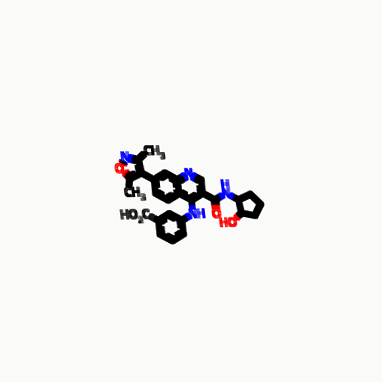 Cc1noc(C)c1-c1ccc2c(Nc3cccc(C(=O)O)c3)c(C(=O)NC3CCCC3O)cnc2c1